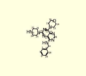 c1ccc(CNc2ncnc3c(N4CCOCC4)nc(N4CCNCC4)nc23)cc1